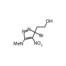 CNC1=C([N+](=O)[O-])C(Br)(CCO)N=N1